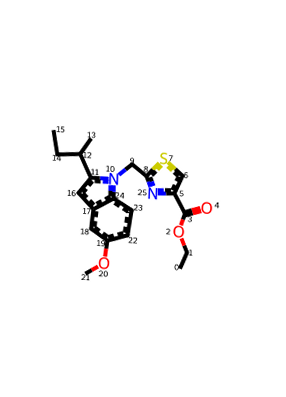 CCOC(=O)c1csc(Cn2c(C(C)CC)cc3cc(OC)ccc32)n1